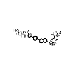 COC(=O)NC(C(=O)N(C)C(C)c1nc(-c2ccc3cc(-c4ccc(-c5c[nH]c(C(C)N(C)C(=O)C(NC(=O)O)C(C)C)n5)cc4)ccc3c2)c[nH]1)C(C)C